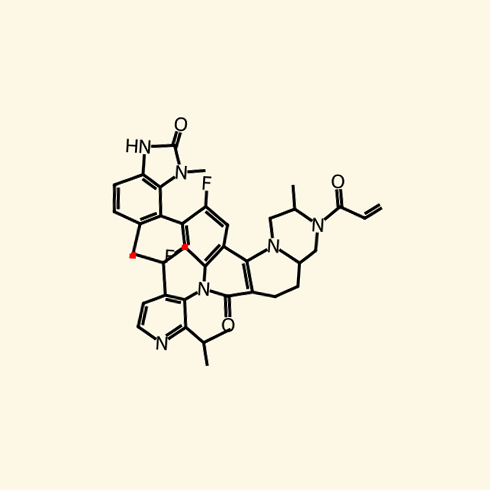 C=CC(=O)N1CC2CCc3c(c4cc(F)c(-c5c(C)ccc6[nH]c(=O)n(C)c56)c(F)c4n(-c4c(C(C)C)ccnc4C(C)C)c3=O)N2CC1C